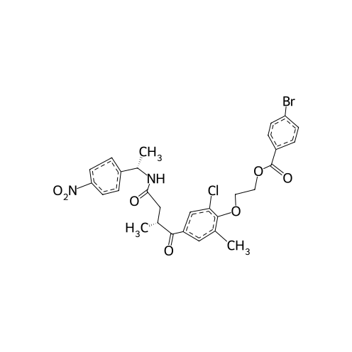 Cc1cc(C(=O)[C@H](C)CC(=O)N[C@@H](C)c2ccc([N+](=O)[O-])cc2)cc(Cl)c1OCCOC(=O)c1ccc(Br)cc1